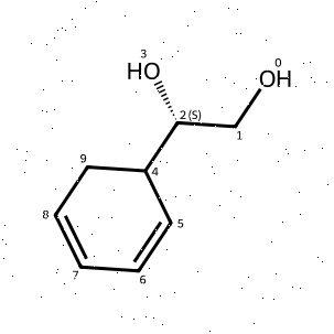 OC[C@@H](O)C1C=CC=CC1